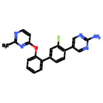 Cc1nccc(Oc2ccccc2-c2ccc(-c3cnc(N)nc3)c(F)c2)n1